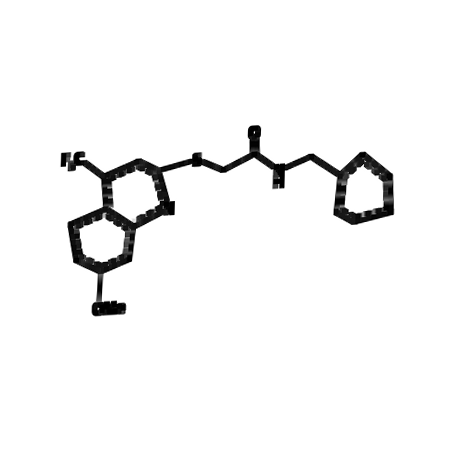 COc1ccc2c(C(F)(F)F)cc(SCC(=O)NCc3ccccc3)nc2c1